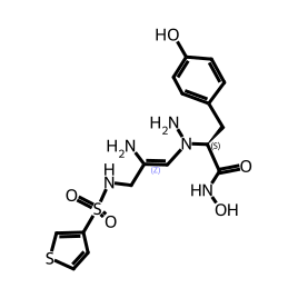 N/C(=C\N(N)[C@@H](Cc1ccc(O)cc1)C(=O)NO)CNS(=O)(=O)c1ccsc1